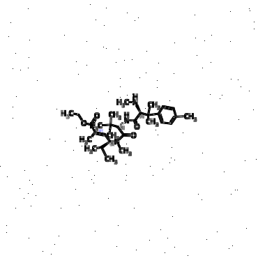 CCOC(=O)/C(C)=C/[C@H](C(C)C)N(C)C(=O)[C@@H](NC(=O)[C@@H](NC)C(C)(C)c1ccc(C)cc1)C(C)(C)C